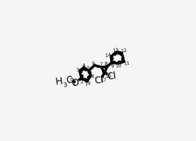 COc1ccc(C[C]2C(c3ccccc3)C2(Cl)Cl)cc1